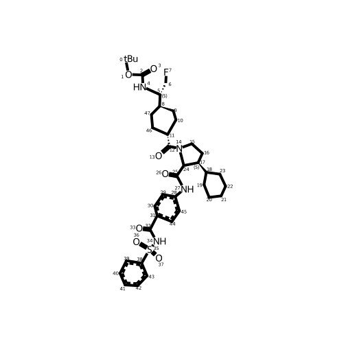 CC(C)(C)OC(=O)N[C@H](CF)[C@H]1CC[C@H](C(=O)N2CC[C@@H](C3CCCCC3)C2C(=O)Nc2ccc(C(=O)NS(=O)(=O)c3ccccc3)cc2)CC1